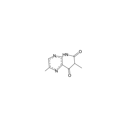 Cc1cnc2c(n1)C(=O)C(C)C(=O)N2